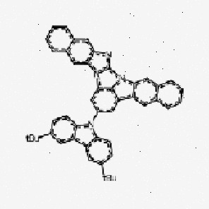 CC(C)(C)c1ccc2c(c1)c1cc(C(C)(C)C)ccc1n2-c1cc2c3cc4ccccc4cc3n3c2c(c1)n1c2cc4ccccc4cc2nc13